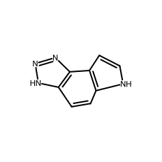 c1cc2c(ccc3[nH]nnc32)[nH]1